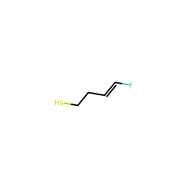 FC=CCCS